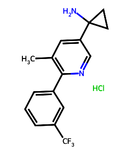 Cc1cc(C2(N)CC2)cnc1-c1cccc(C(F)(F)F)c1.Cl